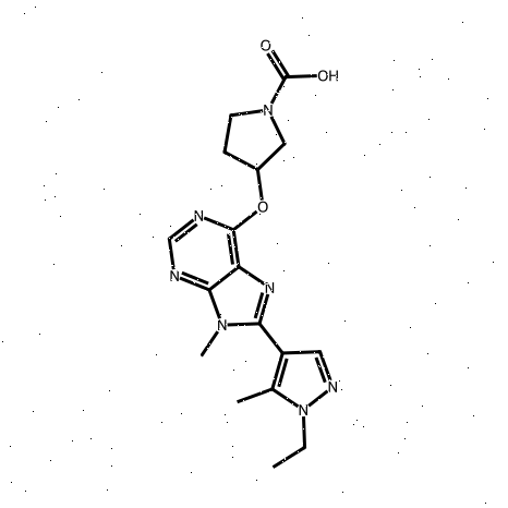 CCn1ncc(-c2nc3c(OC4CCN(C(=O)O)C4)ncnc3n2C)c1C